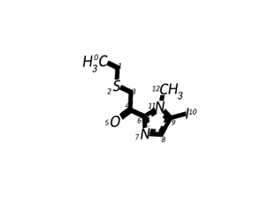 CCSCC(=O)c1ncc(I)n1C